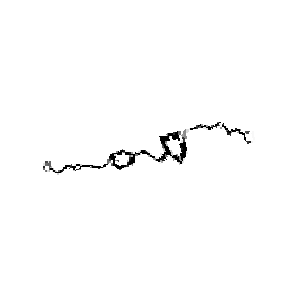 ClCCOCC[n+]1ccc(CCc2cc[n+](CCOCCCl)cc2)cc1